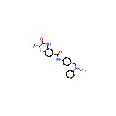 C[C@H]1Sc2ccc(C(=O)Nc3ccc(CN(C)c4ccccc4)cc3)cc2NC1=O